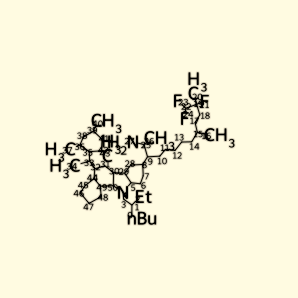 CCCCC(CC)CN1C2CCC(C(CCCCCC(C)CCC(C)(F)C(F)F)C(C)N)CC2C2CC(C(C)C3C(C)CC(C)CC3C)C3CCCCC3C21